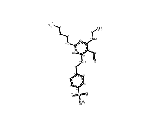 CCCCOc1nc(NCC)c(C=N)c(NCc2ccc(S(N)(=O)=O)cc2)n1